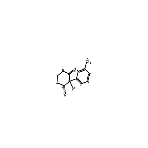 CC(=O)C1(c2cccc(C(F)(F)F)c2)C(=O)CCCC1=O